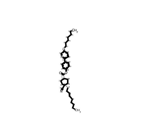 CCCCCCCCC[C@]1(C#N)CC[C@H](C(=O)Oc2ccc(-c3ccc(OCCCCCCC)cn3)cc2)CC1